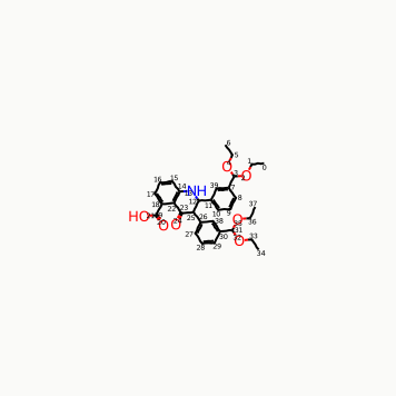 CCOC(OCC)c1cccc(C2Nc3cccc(C(=O)O)c3C(=O)C2c2cccc(C(OCC)OCC)c2)c1